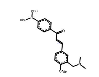 CCCCN(CCCC)c1ccc(C(=O)/C=C/c2ccc(OC)c(CN(C)C)c2)cc1